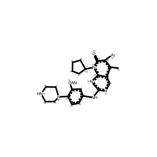 COc1cc(Nc2ncc3c(C)c(C(C)=O)c(=O)n(C4CCCC4)c3n2)ccc1N1CCNCC1